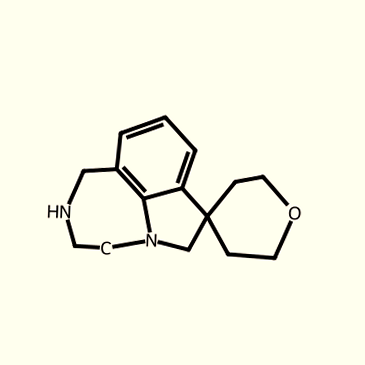 c1cc2c3c(c1)C1(CCOCC1)CN3CCNC2